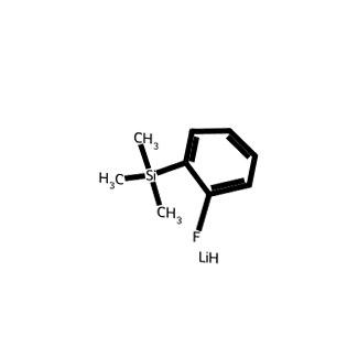 C[Si](C)(C)c1ccccc1F.[LiH]